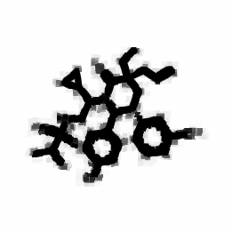 C=CC[C@@]1(CC)C[C@H](c2cccc(Cl)c2)C(c2ccc(Cl)cc2)N(C(CNS(=O)(=O)C(C)C)C2CC2)C1=O